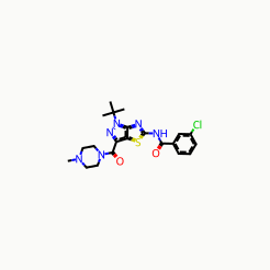 CN1CCN(C(=O)c2nn(C(C)(C)C)c3nc(NC(=O)c4cccc(Cl)c4)sc23)CC1